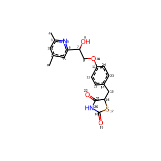 Cc1cc(C)nc(C(O)COc2ccc(CC3SC(=O)NC3=O)cc2)c1